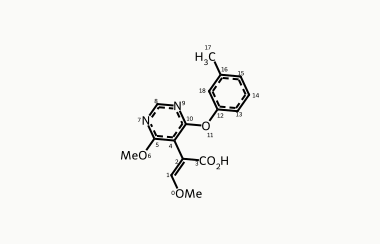 CO/C=C(\C(=O)O)c1c(OC)ncnc1Oc1cccc(C)c1